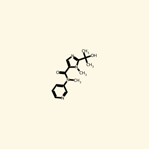 CN(C(=O)c1cnc(C(C)(C)O)n1C)c1cccnc1